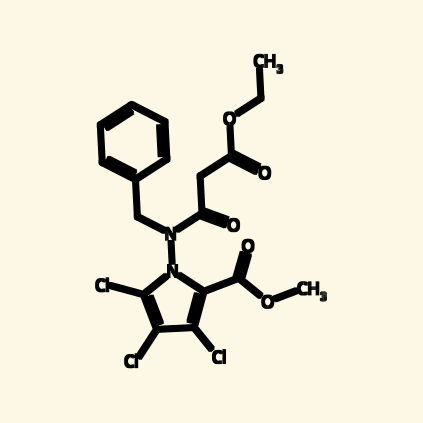 CCOC(=O)CC(=O)N(Cc1ccccc1)n1c(Cl)c(Cl)c(Cl)c1C(=O)OC